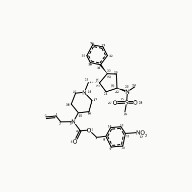 C=CCN(C(=O)OCc1ccc([N+](=O)[O-])cc1)C1CCN(C[C@H]2C[C@H](N(C)S(C)(=O)=O)C[C@@H]2c2ccccc2)CC1